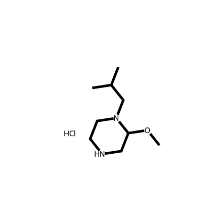 COC1CNCCN1CC(C)C.Cl